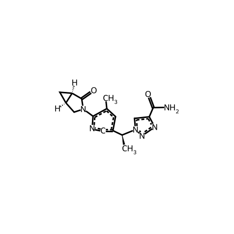 Cc1cc([C@H](C)n2cc(C(N)=O)nn2)cnc1N1C[C@H]2C[C@H]2C1=O